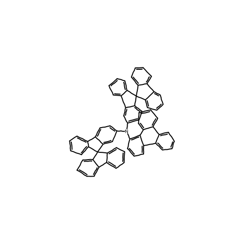 c1ccc2c(c1)-c1ccccc1C21c2ccccc2-c2cc(N(c3ccc4c(c3)C3(c5ccccc5-c5ccccc53)c3ccccc3-4)c3cccc4c5ccccc5c5ccccc5c34)ccc21